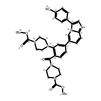 CC(C)(C)OC(=O)N1CCN(C(=O)c2ccc(-c3ccc4ncc(-c5ccc(C#N)cc5)n4c3)cc2N2CCN(C(=O)OC(C)(C)C)CC2)CC1